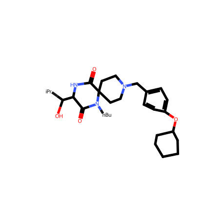 CCCCN1C(=O)C(C(O)C(C)C)NC(=O)C12CCN(Cc1ccc(OC3CCCCC3)cc1)CC2